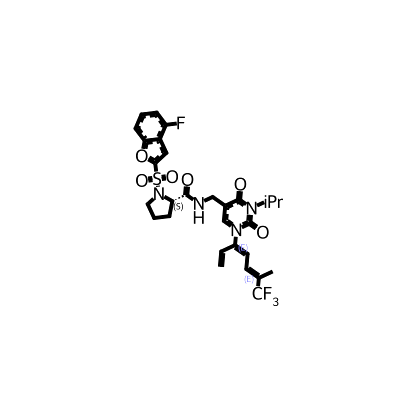 C=C/C(=C\C=C(/C)C(F)(F)F)n1cc(CNC(=O)[C@@H]2CCCN2S(=O)(=O)c2cc3c(F)cccc3o2)c(=O)n(C(C)C)c1=O